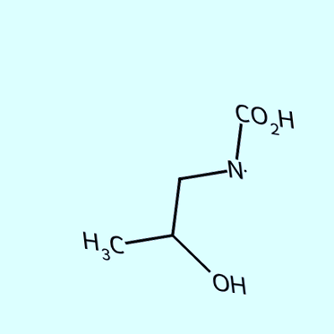 CC(O)C[N]C(=O)O